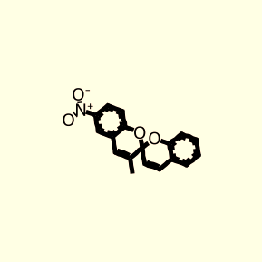 CC1=Cc2cc([N+](=O)[O-])ccc2OC12C=Cc1ccccc1O2